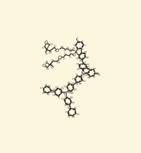 Cc1ccc2c(c1)C(OCCCCOCCC1(C)COC1)(OCCCCOCCC1(C)COC1)c1cc(-c3ccc4c(c3)c3cc(C)ccc3n4-c3ccc(-c4ccc(N(c5ccc(-c6ccccc6)cc5)c5ccc(-c6ccccc6)cc5)cc4)cc3)ccc1-2